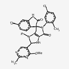 COc1nc(C)ncc1C1NC2=C(N1C(C)C)C1(C(=O)Nc3cc(Cl)ccc31)N(c1cc(Cl)ccc1C)C2=O